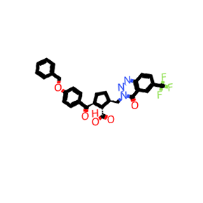 O=C(O)[C@H]1[C@H](Cn2nnc3ccc(C(F)(F)F)cc3c2=O)CC[C@@H]1C(=O)c1ccc(OCc2ccccc2)cc1